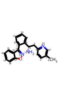 Cc1ccc(C[C@H](N)c2ccccc2-c2noc3ccccc23)nc1